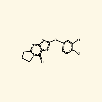 O=c1c2nc(Oc3ccc(Cl)c(Cl)c3)sc2nc2n1CCC2